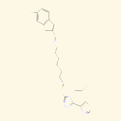 CCCn1c(SCCCCCCCNCC2Cc3ccc(F)cc3C2)nnc1-c1cscn1